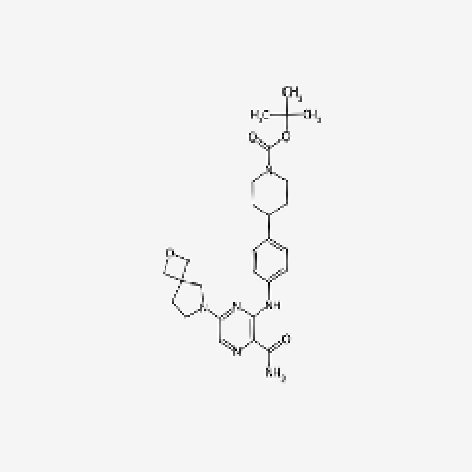 CC(C)(C)OC(=O)N1CCC(c2ccc(Nc3nc(N4CCC5(COC5)C4)cnc3C(N)=O)cc2)CC1